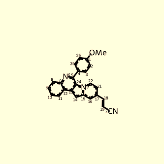 COc1ccc(-c2nc3ccccc3c3cc4cc(/C=C/C#N)ccn4c23)cc1